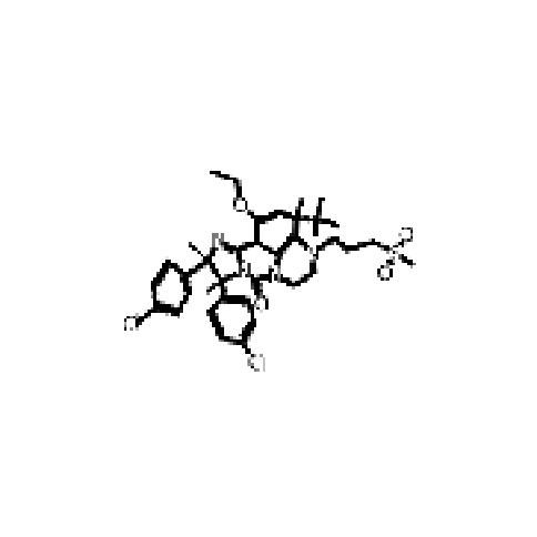 CCOC1=CC(C)(C(C)(C)C)C2=C3N(CCN2CCCS(C)(=O)=O)C(=O)N2C(=N[C@@](C)(c4ccc(Cl)cc4)[C@@]2(C)c2ccc(Cl)cc2)C13C